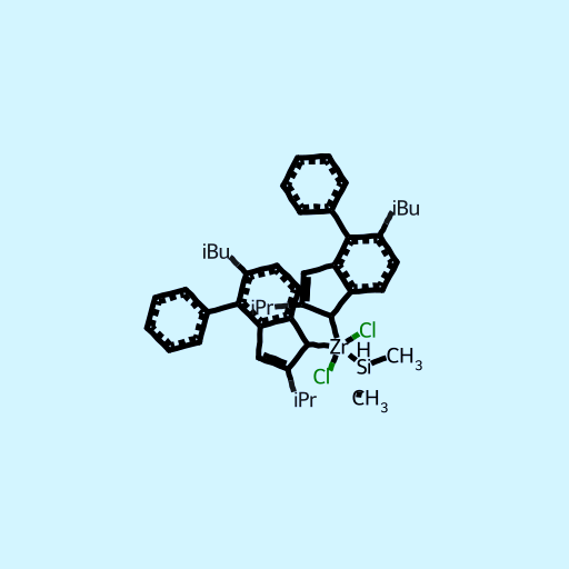 CCC(C)c1ccc2c(c1-c1ccccc1)C=C(C(C)C)[CH]2[Zr]([Cl])([Cl])([CH]1C(C(C)C)=Cc2c1ccc(C(C)CC)c2-c1ccccc1)[SiH](C)C